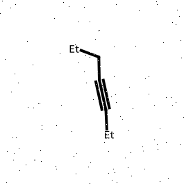 [CH2]CCC#CCC